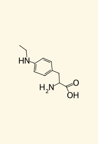 CCNc1ccc(CC(N)C(=O)O)cc1